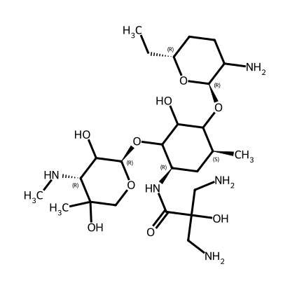 CC[C@@H]1CCC(N)[C@@H](OC2C(O)C(O[C@H]3OCC(C)(O)[C@H](NC)C3O)[C@H](NC(=O)C(O)(CN)CN)C[C@@H]2C)O1